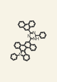 c1ccc(C2N=C(c3cc4ccccc4c4ccccc34)N=C(c3cc4c5ccccc5c5c(c6ccccc6n5-c5ccccc5)c4c4ccccc34)N2)cc1